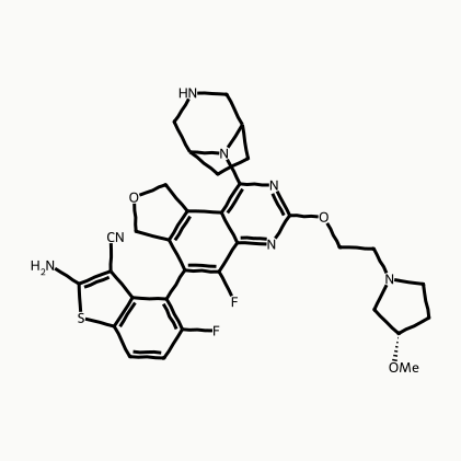 CO[C@H]1CCN(CCOc2nc(N3C4CCC3CNC4)c3c4c(c(-c5c(F)ccc6sc(N)c(C#N)c56)c(F)c3n2)COC4)C1